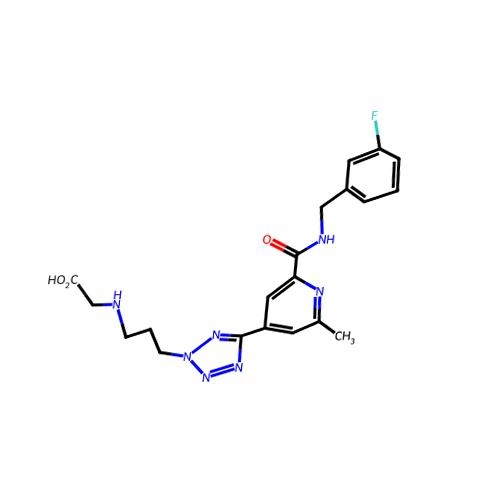 Cc1cc(-c2nnn(CCCNCC(=O)O)n2)cc(C(=O)NCc2cccc(F)c2)n1